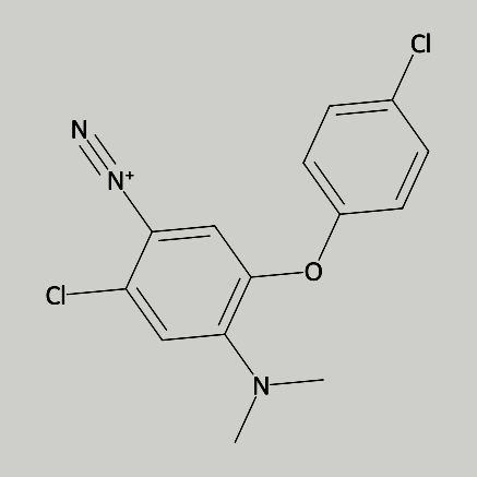 CN(C)c1cc(Cl)c([N+]#N)cc1Oc1ccc(Cl)cc1